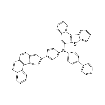 c1ccc(-c2ccc(N(c3ccc(-c4ccc5c(ccc6ccc7ccccc7c65)c4)cc3)c3cc4ccccc4c4c3sc3ccccc34)cc2)cc1